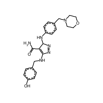 NC(=O)C1=C(NCc2ccc(O)cc2)N=NC1Nc1ccc(CN2CCOCC2)cc1